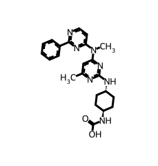 Cc1cc(N(C)c2ccnc(-c3ccccc3)n2)nc(N[C@H]2CC[C@H](NC(=O)O)CC2)n1